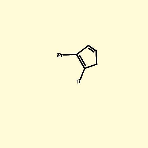 CC(C)C1=[C]([Ti])CC=C1